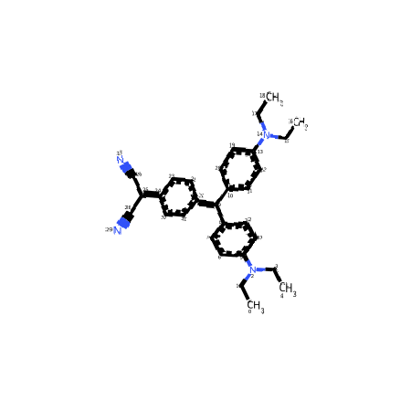 CCN(CC)c1ccc(C(c2ccc(N(CC)CC)cc2)=c2ccc(=C(C#N)C#N)cc2)cc1